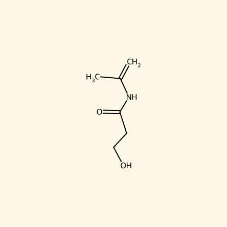 C=C(C)NC(=O)CCO